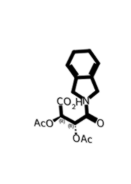 CC(=O)O[C@@H](C(=O)O)[C@@H](OC(C)=O)C(=O)N1CC2=CCCC=C2C1